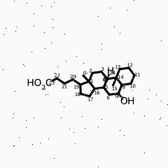 CC12CC[C@H]3C(C[C@H](O)C4CCCCC43C)C1CCC2CCCC(=O)O